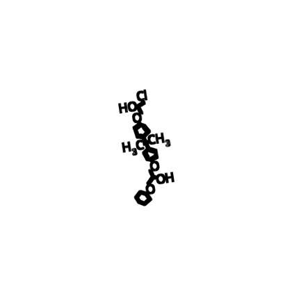 CC(C)(c1ccc(OCC(O)CCl)cc1)c1ccc(OCC(O)COC2CCCCC2)cc1